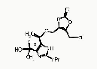 C=C(OCc1oc(=O)oc1CCl)c1[nH]c(CCC)nc1C(C)(C)O